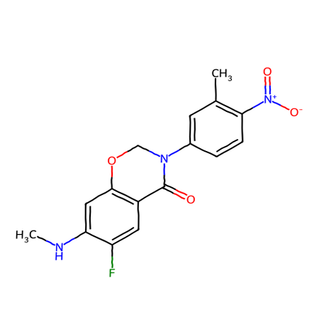 CNc1cc2c(cc1F)C(=O)N(c1ccc([N+](=O)[O-])c(C)c1)CO2